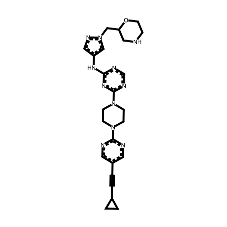 C(#CC1CC1)c1cnc(N2CCN(c3ncnc(Nc4cnn(CC5CNCCO5)c4)n3)CC2)nc1